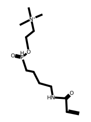 C=CC(=O)NCCCC[PH](=O)OCC[N+](C)(C)C